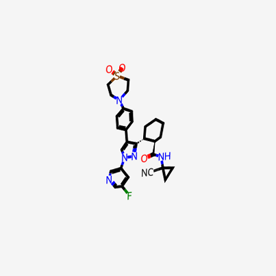 N#CC1(NC(=O)[C@@H]2CCCC[C@H]2c2nn(-c3cncc(F)c3)cc2-c2ccc(N3CCS(=O)(=O)CC3)cc2)CC1